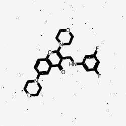 O=c1c(CNc2cc(F)cc(F)c2)c(N2CCOCC2)oc2ccc(N3CCOCC3)cc12